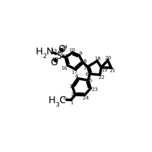 CCc1ccc(C2=C(c3ccc(S(N)(=O)=O)cc3)CC3(CC3)C2)cc1